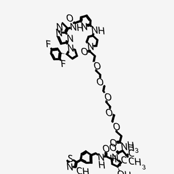 Cc1ncsc1-c1ccc(CNC(=O)C2C[C@@H](O)CN2C(=O)[C@@H](NC(=O)CCOCCOCCOCCOCCOCCC(=O)N2CCC(Nc3cccc(C(=O)Nc4cnn5ccc(N6CCC[C@@H]6c6cc(F)ccc6F)nc45)n3)CC2)C(C)(C)C)cc1